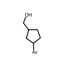 CC(=O)C1CCC(CO)C1